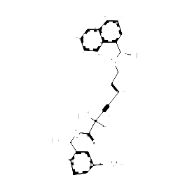 COc1cccc([C@H](C)NC(=O)C(C)(C)C#C/C=C/CN[C@H](C)c2cccc3ccccc23)c1